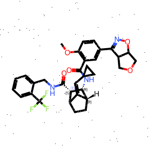 COc1ccc(C2=NOC3COCC23)cc1C(=O)N[C@@H]1[C@@H]2CCC(/C2=C/C2CC2)[C@@H]1C(=O)NCc1ccccc1C(F)(F)F